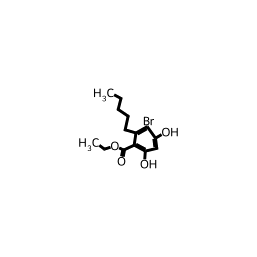 CCCCCc1c(Br)c(O)cc(O)c1C(=O)OCC